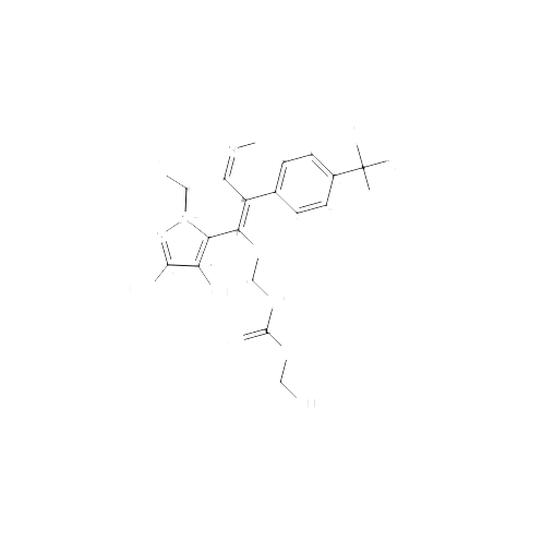 CCOC(=O)OCO/C(=C(/C=N\C)c1ccc(C(C)(C)C)cc1)c1c(C)c(C)nn1CC